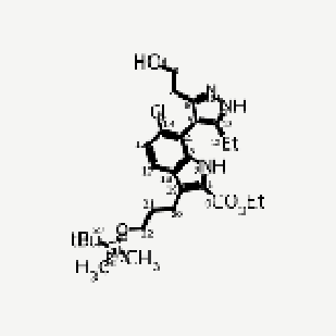 CCOC(=O)c1[nH]c2c(-c3c(CCO)n[nH]c3CC)c(Cl)ccc2c1CCCO[Si](C)(C)C(C)(C)C